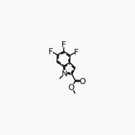 COC(=O)c1cc2c(F)c(F)c(F)cc2n1C